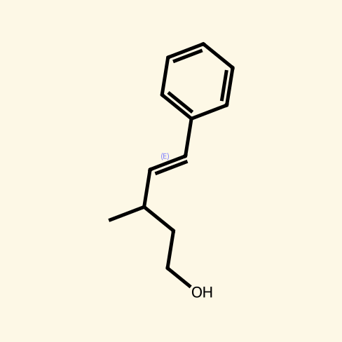 CC(/C=C/c1ccccc1)CCO